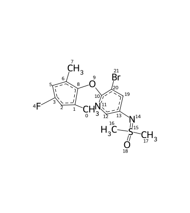 Cc1cc(F)cc(C)c1Oc1ncc(N=S(C)(C)=O)cc1Br